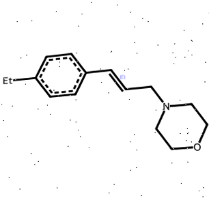 CCc1ccc(/C=C/CN2CCOCC2)cc1